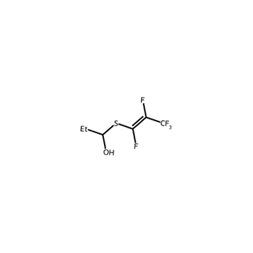 CCC(O)SC(F)=C(F)C(F)(F)F